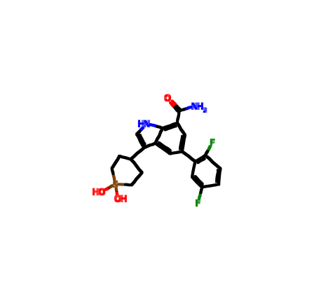 NC(=O)c1cc(-c2cc(F)ccc2F)cc2c(C3CCS(O)(O)CC3)c[nH]c12